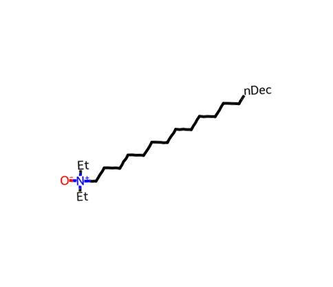 CCCCCCCCCCCCCCCCCCCCCCC[N+]([O-])(CC)CC